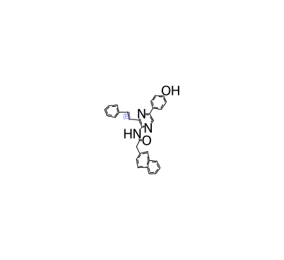 O=C(Cc1ccc2ccccc2c1)Nc1ncc(-c2ccc(O)cc2)nc1/C=C/c1ccccc1